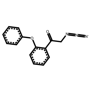 [N-]=[N+]=NCC(=O)c1ccccc1Oc1ccccc1